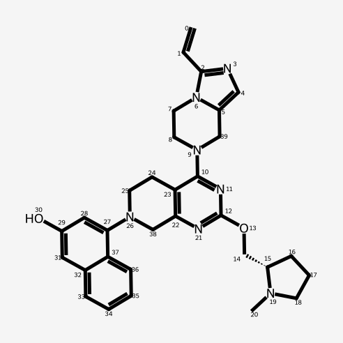 C=Cc1ncc2n1CCN(c1nc(OC[C@@H]3CCCN3C)nc3c1CCN(c1cc(O)cc4ccccc14)C3)C2